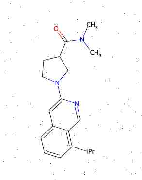 CC(C)c1cccc2cc(N3CCC(C(=O)N(C)C)C3)ncc12